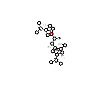 N#Cc1cc(-c2ccc(C#N)c(-c3ccc4c(c3)c3cc(-c5ccccc5C#N)ccc3n4-c3c(-c4ccccc4C(F)(F)F)cc(-c4cc(-c5ccccc5)nc(-c5ccccc5)n4)cc3-c3ccccc3C(F)(F)F)c2)cc(-c2ccc3c(c2)c2ccccc2n3-c2c(-c3ccccc3C(F)(F)F)cc(-c3cc(-c4ccccc4)nc(-c4ccccc4)n3)cc2-c2ccccc2C(F)(F)F)c1